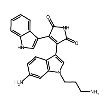 NCCCn1cc(C2=C(c3c[nH]c4ccccc34)C(=O)NC2=O)c2ccc(N)cc21